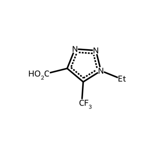 CCn1nnc(C(=O)O)c1C(F)(F)F